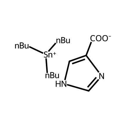 CCC[CH2][Sn+]([CH2]CCC)[CH2]CCC.O=C([O-])c1c[nH]cn1